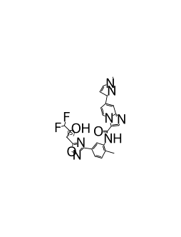 Cc1ccc(-c2noc(C[C@H](O)C(F)F)n2)cc1NC(=O)c1cnc2cc(-c3ccn(C)n3)ccn12